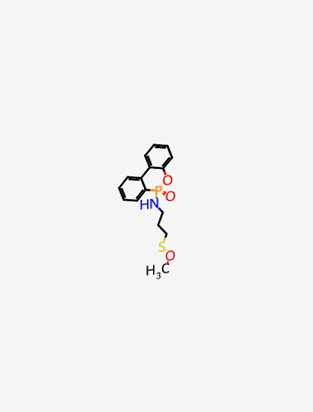 COSCCCNP1(=O)Oc2ccccc2-c2ccccc21